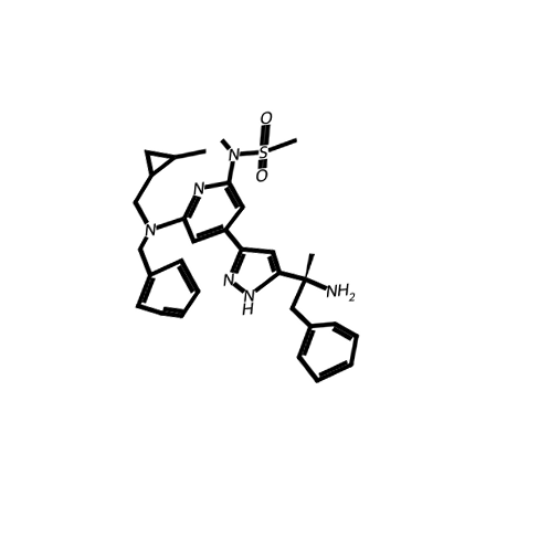 CC1CC1CN(Cc1ccccc1)c1cc(-c2cc([C@](C)(N)Cc3ccccc3)[nH]n2)cc(N(C)S(C)(=O)=O)n1